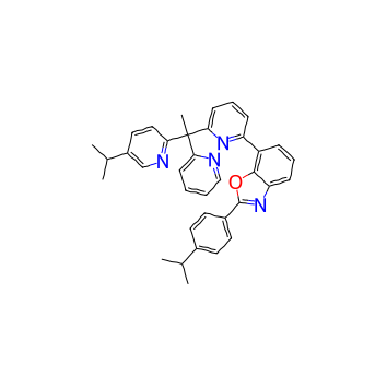 CC(C)c1ccc(-c2nc3cccc(-c4cccc(C(C)(c5ccccn5)c5ccc(C(C)C)cn5)n4)c3o2)cc1